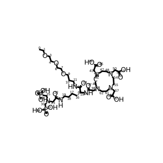 CCOCCOCCOCCCNC(=O)[C@@H](CCCCNC(=O)CN(CP(=O)(O)O)CP(=O)(O)O)NC(=O)CN1CCN(CC(=O)O)CCN(CC(=O)O)CCN(CC(=O)O)CC1